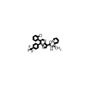 CN(NC(=O)c1cnn2c(-c3ccc(C(F)(F)F)cc3)c(-c3ccccc3Cl)cnc12)c1ccccn1